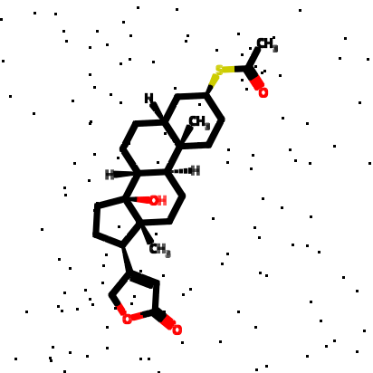 CC(=O)S[C@H]1CC[C@@]2(C)[C@H](CC[C@@H]3[C@@H]2CC[C@]2(C)[C@@H](C4=CC(=O)OC4)CC[C@]32O)C1